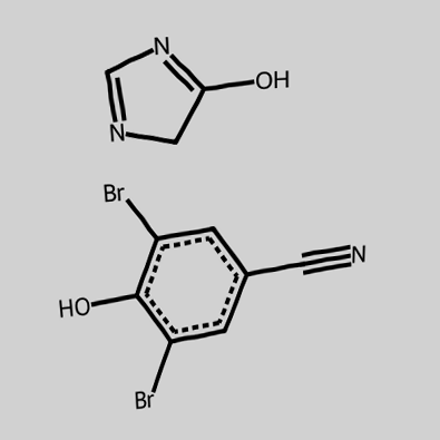 N#Cc1cc(Br)c(O)c(Br)c1.OC1=NC=NC1